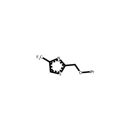 CC(C)OCc1nc(C(F)(F)F)cs1